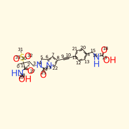 CC(CCN1Cc2cc(C#Cc3ccc(CNC(=O)O)cc3)cn2C1=O)(C(=O)NO)S(C)(=O)=O